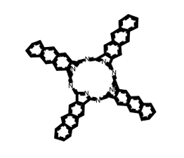 c1ccc2cc3cc4c(cc3cc2c1)-c1nc-4nc2[nH]c(nc3nc(nc4[nH]c(n1)c1cc5cc6ccccc6cc5cc41)-c1cc4cc5ccccc5cc4cc1-3)c1cc3cc4ccccc4cc3cc21